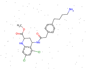 COC(=O)C1CC(NC(=O)Cc2ccc(CCCCN)cc2)c2c(Cl)cc(Cl)cc2N1